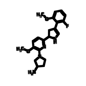 COc1ccc(C2CC(c3c(F)cccc3OC)=CN2)nc1N1CCC(N)C1